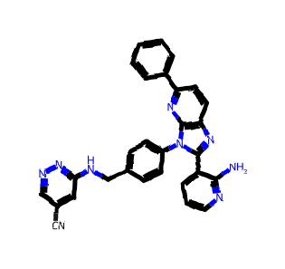 N#Cc1cnnc(NCc2ccc(-n3c(-c4cccnc4N)nc4ccc(-c5ccccc5)nc43)cc2)c1